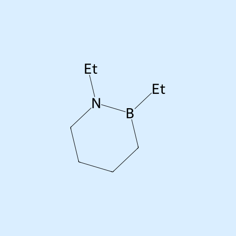 CCB1CCCCN1CC